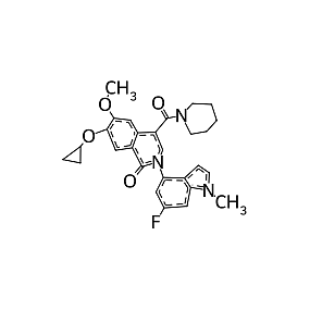 COc1cc2c(C(=O)N3CCCCC3)cn(-c3cc(F)cc4c3ccn4C)c(=O)c2cc1OC1CC1